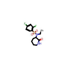 CC(C)CN(C1CCCCNC1=O)S(=O)(=O)c1ccc(F)cc1F